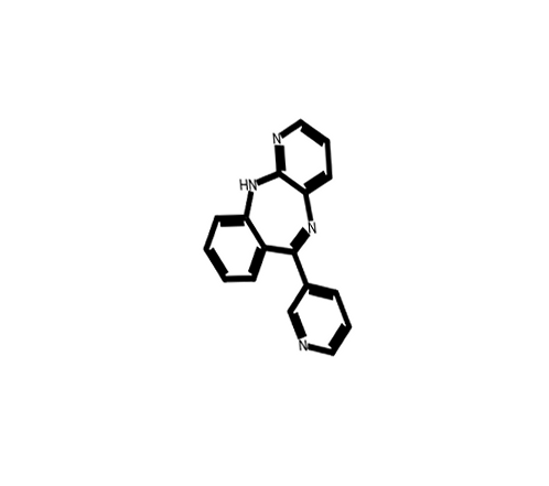 c1cncc(C2=Nc3cccnc3Nc3ccccc32)c1